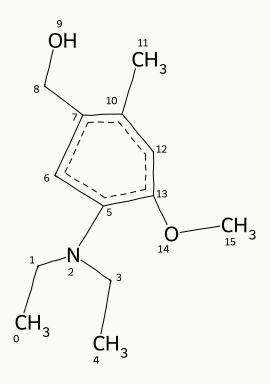 CCN(CC)c1cc(CO)c(C)cc1OC